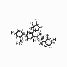 CCOc1cc(F)ccc1-c1ccc(C(=O)NS(=O)(=O)c2ccc[nH]c2=O)c(N2CCC(C)C2(C)C)n1